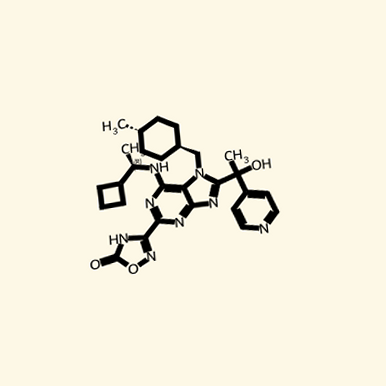 C[C@@H](Nc1nc(-c2noc(=O)[nH]2)nc2nc(C(C)(O)c3ccncc3)n(C[C@H]3CC[C@H](C)CC3)c12)C1CCC1